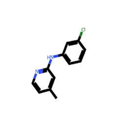 Cc1ccnc(Nc2cccc(Cl)c2)c1